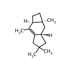 CC1=C2CC(C)(C)C[C@H]2C[C@]2(C)CC[C@H]12